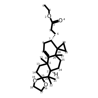 CCOC(=O)CC[C@H]1CC=C2C3(C)CCC4(OCCO4)C(C)(C)[C@@H]3CCC2(C)C12CC2